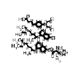 CC(C)(S)[C@@H](N)C(=O)O.CCN(CC)CCCC(C)Nc1ccnc2cc(Cl)ccc12.CCN(CCO)CCCC(C)Nc1ccnc2cc(Cl)ccc12.O=C(O)CCCc1ccc(N(CCCl)CCCl)cc1